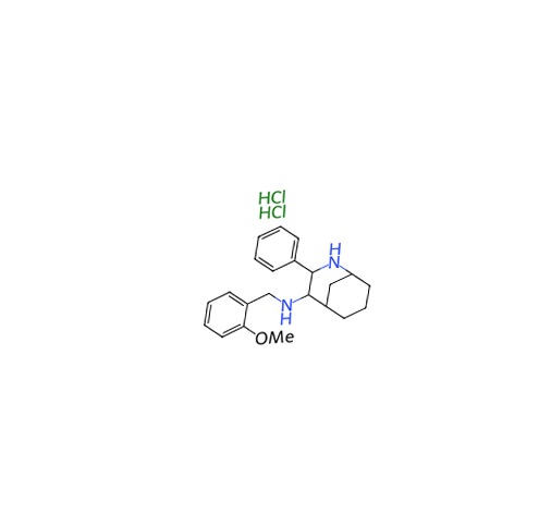 COc1ccccc1CNC1C2CCCC(C2)NC1c1ccccc1.Cl.Cl